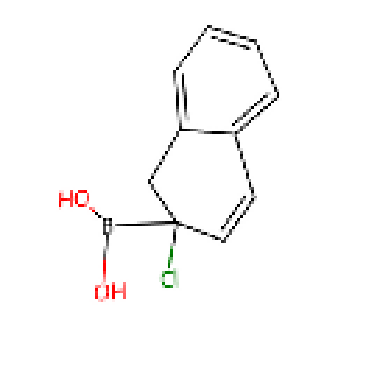 OB(O)C1(Cl)C=Cc2ccccc2C1